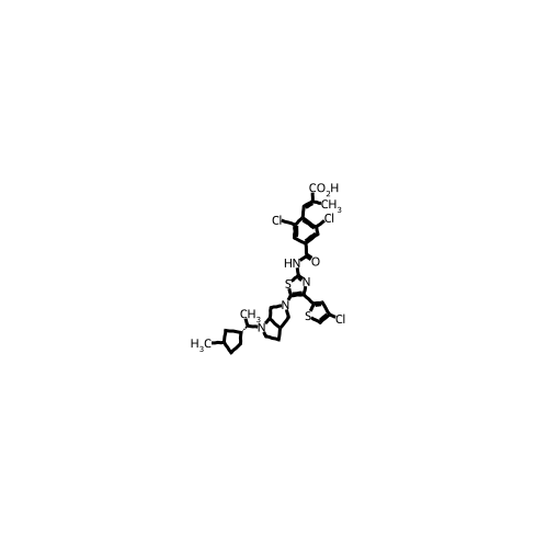 C/C(=C\c1c(Cl)cc(C(=O)Nc2nc(-c3cc(Cl)cs3)c(N3CC4CCN(C(C)[C@@H]5CCC(C)C5)C4C3)s2)cc1Cl)C(=O)O